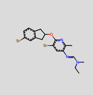 CCN(C)/C=N/c1cc(Br)c(OC2Cc3ccc(Br)cc3C2)nc1C